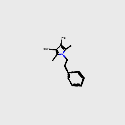 Cc1c(C=O)c(C=O)c(C)n1CCc1ccccc1